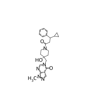 Cn1ncc2c(=O)n(CC3(O)CCN(C(=O)CC(c4ccccc4)C4CC4)CC3)cnc21